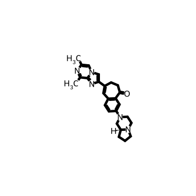 Cc1cn2cc(C3=Cc4ccc(N5CCN6CCC[C@H]6C5)cc4C(=O)CC3)nc2c(C)n1